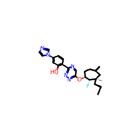 CCC[C@]1(C)CC(C)CC[C@H](Oc2cnc(-c3ccc(-n4ccnc4)cc3O)nn2)[C@H]1F